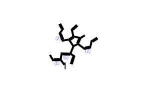 C=C/C=C\C1=C(C)C(C=C)=C(/C=C\C=C)C1/C(C=C)=C/C(I)=C\C